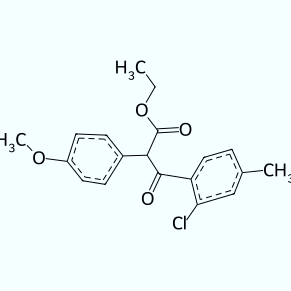 CCOC(=O)C(C(=O)c1ccc(C)cc1Cl)c1ccc(OC)cc1